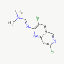 CN(C)C=Nc1nc2cc(Cl)ncc2cc1Br